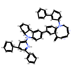 C=C1/C=C\C=C/CN(c2cccc(-c3ccccc3)c2)c2ccc(-c3ccc4c(c3)c3ccccc3n4-c3cc(-c4ccccc4)cc(-c4ccccc4)n3)cc21